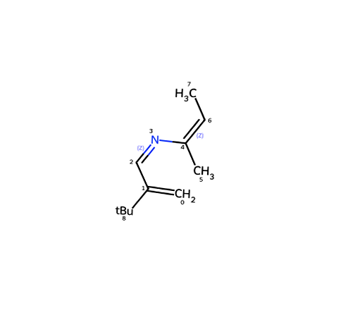 C=C(/C=N\C(C)=C/C)C(C)(C)C